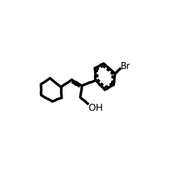 OCC(=CC1CCCCC1)c1ccc(Br)cc1